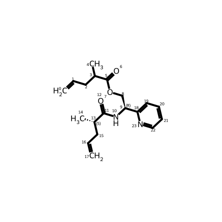 C=CCC(C)C(=O)OC[C@H](NC(=O)[C@@H](C)CC=C)c1ccccn1